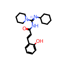 O=C(C=Cc1ccccc1O)N/C(=N\C1CCCCC1)N1CCCCC1